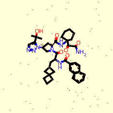 CC(C)(O)c1cnnn1[C@H]1C[C@@H](C(=O)NC2(C(=O)C(N)=O)CCCCC2)N(C(=O)C(CC2CC3(CCC3)C2)NC(=O)c2ccc3ccccc3c2)C1